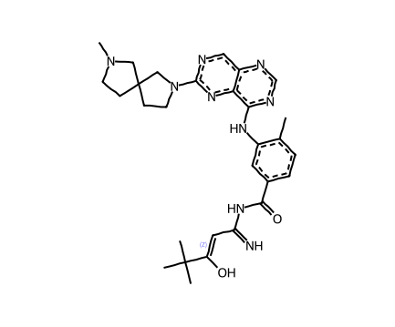 Cc1ccc(C(=O)NC(=N)/C=C(\O)C(C)(C)C)cc1Nc1ncnc2cnc(N3CCC4(CCN(C)C4)C3)nc12